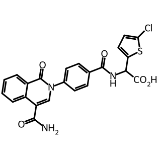 NC(=O)c1cn(-c2ccc(C(=O)NC(C(=O)O)c3ccc(Cl)s3)cc2)c(=O)c2ccccc12